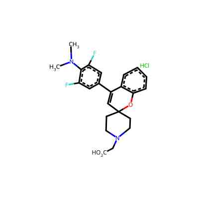 CN(C)c1c(F)cc(C2=CC3(CCN(CC(=O)O)CC3)Oc3ccccc32)cc1F.Cl